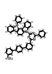 CCCCc1cccc(-c2ccc(-c3cccc(-c4nc(-c5ccccc5)nc(-n5c6ccccc6c6c5ccc5c7ccccc7n(-c7ccccc7)c56)n4)c3)cc2)c1